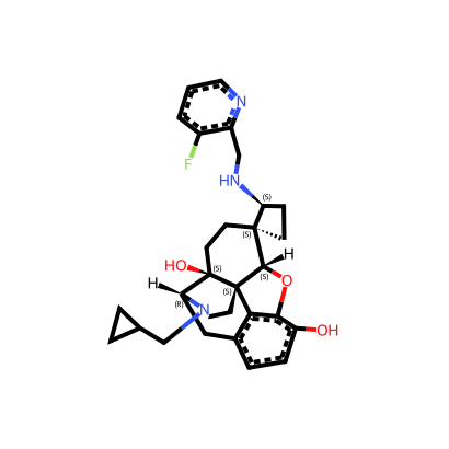 Oc1ccc2c3c1O[C@H]1[C@@]4(CC[C@@H]4NCc4ncccc4F)CC[C@@]4(O)[C@@H](C2)N(CC2CC2)CC[C@]314